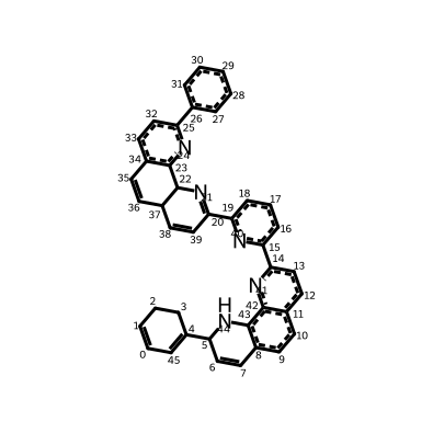 C1=CCCC(C2C=Cc3ccc4ccc(-c5cccc(C6=NC7c8nc(-c9ccccc9)ccc8C=CC7C=C6)n5)nc4c3N2)=C1